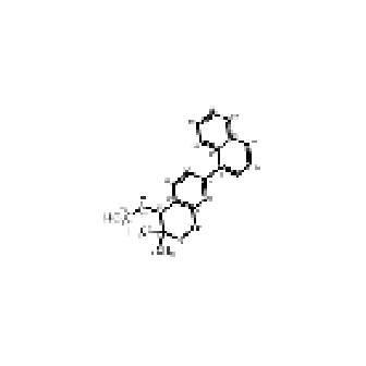 CC1(C)COc2cc(-c3cccc4ccccc34)ccc2C1NC(=O)O